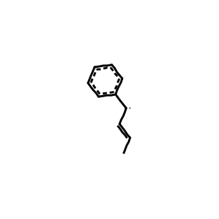 C/C=C/[CH]c1ccccc1